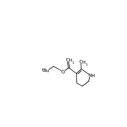 C=C(OCC(C)(C)C)C1=C(C)NCCC1